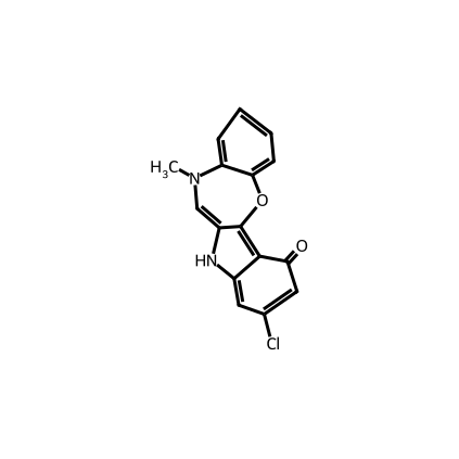 CN1C=c2[nH]c3c(c2Oc2ccccc21)C(=O)C=C(Cl)C=3